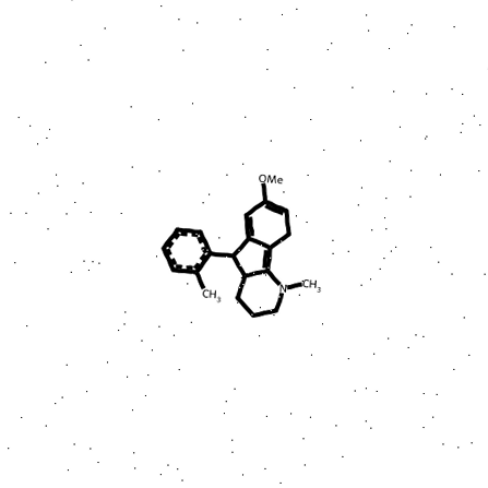 COC1=CCC2=C3C(CCCN3C)C(c3ccccc3C)C2=C1